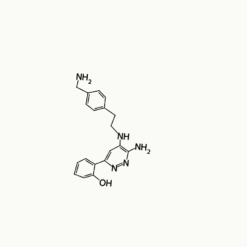 NCc1ccc(CCNc2cc(-c3ccccc3O)nnc2N)cc1